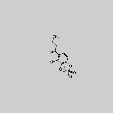 CCCC(=O)c1ccc(OP(=O)(O)O)c(Cl)c1Cl